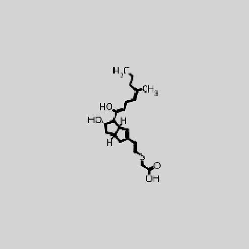 CCCC(C)CCC=C(O)[C@H]1[C@@H]2C=C(CCSCC(=O)O)C[C@@H]2C[C@@H]1O